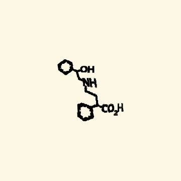 O=C(O)[C@H](CCNCC(O)c1ccccc1)c1ccccc1